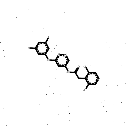 O=C(Cc1c(F)cccc1Cl)Nc1cnnc(Nc2cc(F)cc(F)c2)c1